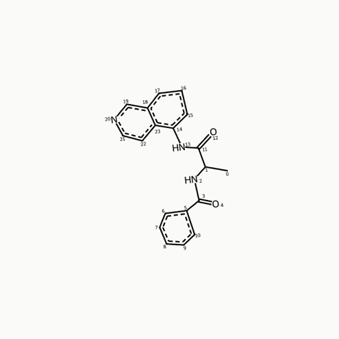 CC(NC(=O)c1ccccc1)C(=O)Nc1cccc2cnccc12